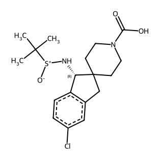 CC(C)(C)[S+]([O-])N[C@H]1c2ccc(Cl)cc2CC12CCN(C(=O)O)CC2